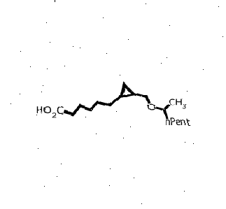 CCCCCC(C)OCC1CC1CCCCCC(=O)O